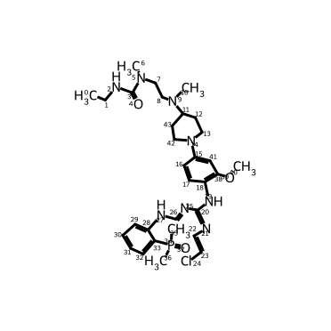 CCNC(=O)N(C)CCN(C)C1CCN(c2ccc(NC(=N/C=C/Cl)/N=C/Nc3ccccc3P(C)(C)=O)c(OC)c2)CC1